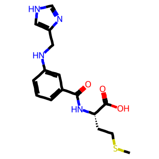 CSCC[C@H](NC(=O)c1cccc(NCc2c[nH]cn2)c1)C(=O)O